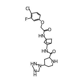 O=C(COc1ccc(Cl)c(F)c1)NC12CC(C1)C(NC(=O)C1CC(N3CNCN3)CCN1)C2